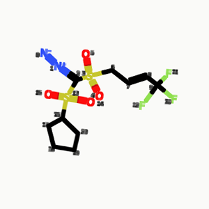 [N-]=[N+]=C(S(=O)(=O)CC=CC(F)(F)F)S(=O)(=O)C1CCCC1